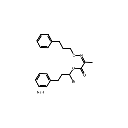 CC(=NOCCCc1ccccc1)C(=O)OC(Br)CCc1ccccc1.[NaH]